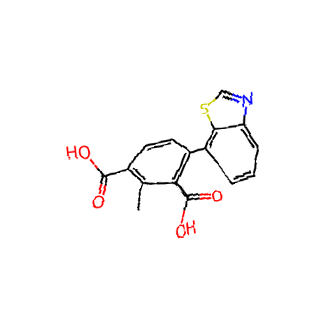 Cc1c(C(=O)O)ccc(-c2cccc3ncsc23)c1C(=O)O